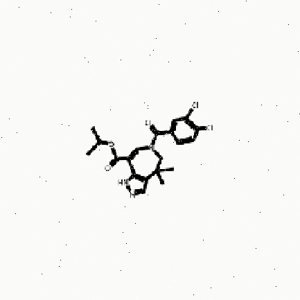 CC(C)OC(=O)C1=CN(C(=O)c2ccc(Cl)c(Cl)c2)CC(C)(C)c2cn[nH]c21